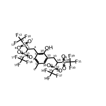 Cc1cc(CC(S(=O)(=O)C(F)(F)F)S(=O)(=O)C(F)(F)F)c(O)c(CC(S(=O)(=O)C(F)(F)F)S(=O)(=O)C(F)(F)F)c1